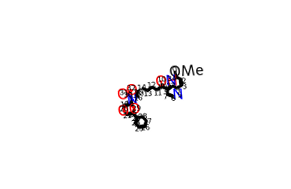 COc1ccc2nccc([C@H](O)CCCC[C@@H]3CN(C4=COC=C(C5=CC=CCC5)O4)C(=O)O3)c2n1